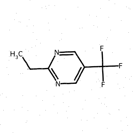 C[CH]c1ncc(C(F)(F)F)cn1